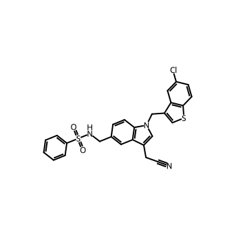 N#CCc1cn(Cc2csc3ccc(Cl)cc23)c2ccc(CNS(=O)(=O)c3ccccc3)cc12